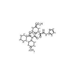 CN1CCC(C(C(=O)N2CCN(C(=O)O)C[C@H]2C(=O)NCc2cccs2)N(C)C2CCCCC2)CC1